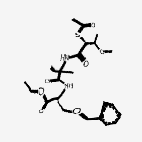 CCOC(=O)[C@H](COCc1ccccc1)NC(=O)C(C)(C)NC(=O)[C@@H](SC(C)=O)C(C)OC